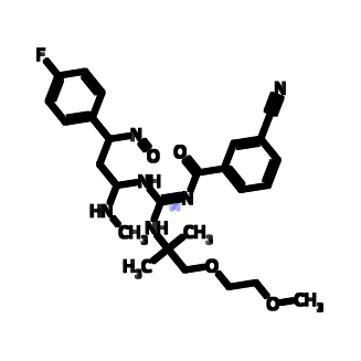 CNC(CC(N=O)c1ccc(F)cc1)N/C(=N\C(=O)c1cccc(C#N)c1)NC(C)(C)COCCOC